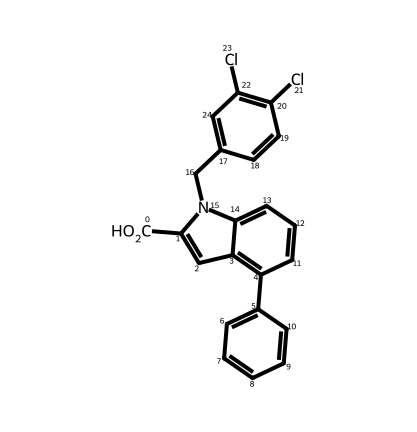 O=C(O)c1cc2c(-c3ccccc3)cccc2n1Cc1ccc(Cl)c(Cl)c1